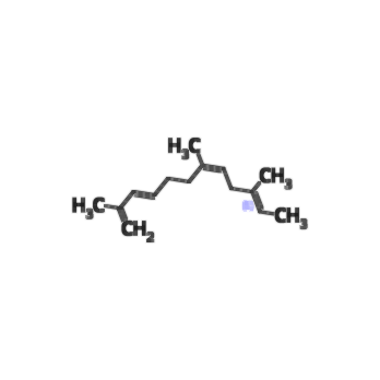 C=C(C)C=CCCC(C)=CC/C(C)=C/C